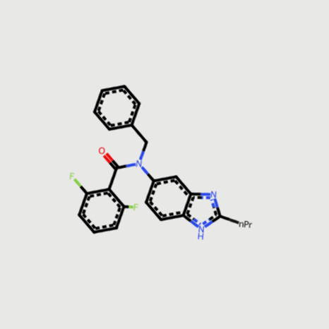 CCCc1nc2cc(N(Cc3ccccc3)C(=O)c3c(F)cccc3F)ccc2[nH]1